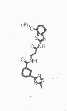 CCCOc1cccc2nc(NC(=O)CCNC(=O)c3cccc(-c4noc(C)n4)c3)sc12